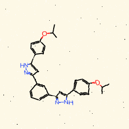 CC(C)Oc1ccc(-c2cc(-c3cccc(-c4cc(-c5ccc(OC(C)C)cc5)[nH]n4)c3)n[nH]2)cc1